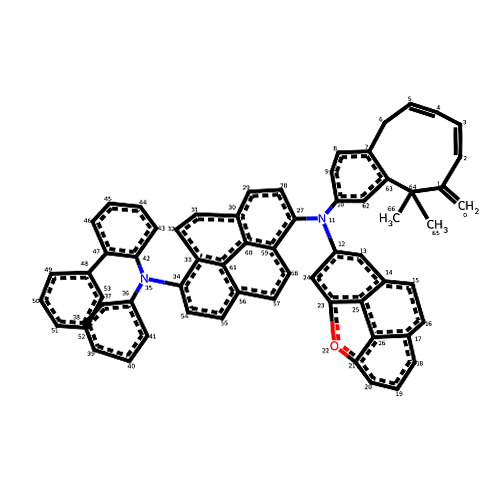 C=C1/C=C\C=C/Cc2ccc(N(c3cc4ccc5cccc6oc(c3)c4c56)c3ccc4ccc5c(N(c6ccccc6)c6ccccc6-c6ccccc6)ccc6ccc3c4c65)cc2C1(C)C